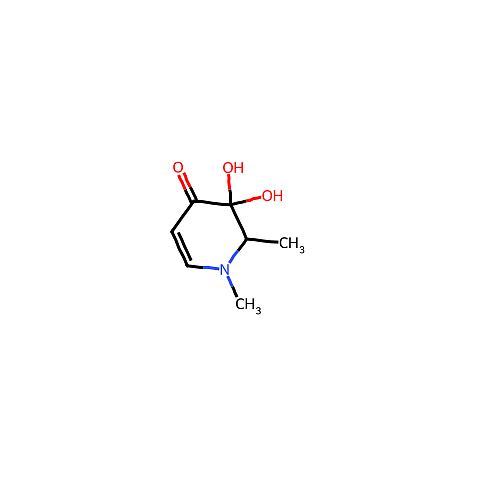 CC1N(C)C=CC(=O)C1(O)O